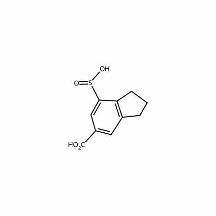 O=C(O)c1cc2c(c(S(=O)O)c1)CCC2